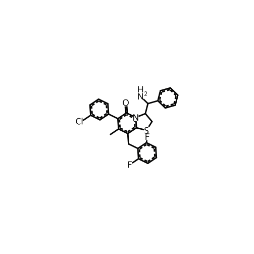 Cc1c(Cc2c(F)cccc2F)c2n(c(=O)c1-c1cccc(Cl)c1)C(C(N)c1ccccc1)CS2